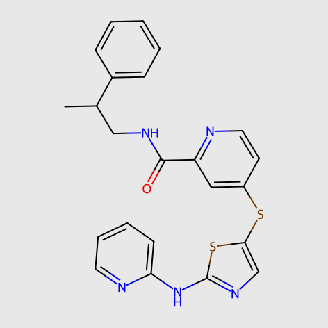 CC(CNC(=O)c1cc(Sc2cnc(Nc3ccccn3)s2)ccn1)c1ccccc1